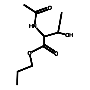 CCCOC(=O)C(NC(C)=O)C(C)O